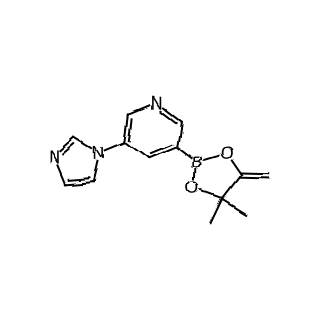 C=C1OB(c2cncc(-n3ccnc3)c2)OC1(C)C